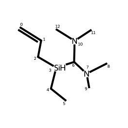 C=CC[SiH](CC)C(N(C)C)N(C)C